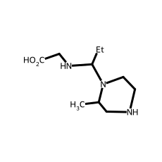 CCC(NCC(=O)O)N1CCNCC1C